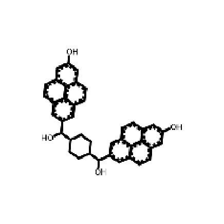 Oc1cc2ccc3cc(C(O)C4CCC(C(O)c5cc6ccc7cc(O)cc8ccc(c5)c6c78)CC4)cc4ccc(c1)c2c34